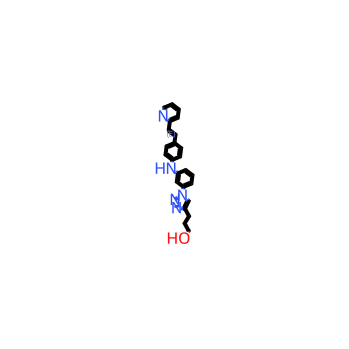 OCCCc1cn(-c2cccc(Nc3ccc(/C=C/c4ccccn4)cc3)c2)nn1